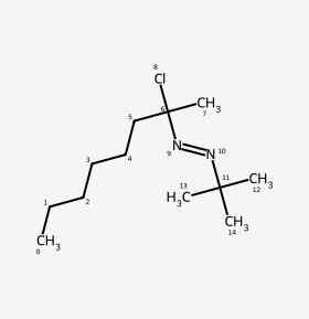 CCCCCCC(C)(Cl)N=NC(C)(C)C